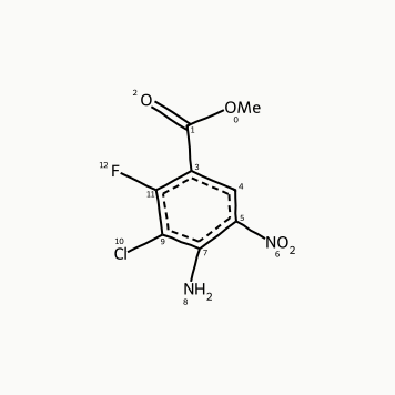 COC(=O)c1cc([N+](=O)[O-])c(N)c(Cl)c1F